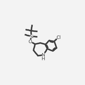 CC(C)(C)[Si](C)(C)OC1CCNc2ccc(Cl)cc2C1